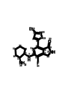 CCc1cc(-c2nc(N[C@@H]3CCCC[C@@H]3N)c(F)c3c2C(=O)NC3)sn1